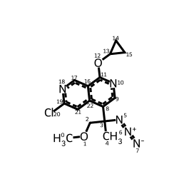 COCC(C)(N=[N+]=[N-])c1cnc(OC2CC2)c2cnc(Cl)cc12